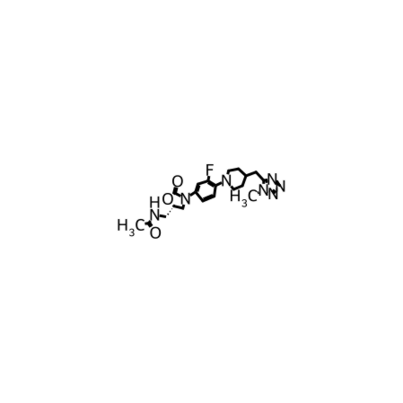 CC(=O)NC[C@H]1CN(c2ccc(N3CCC(Cc4nnnn4C)CC3)c(F)c2)C(=O)O1